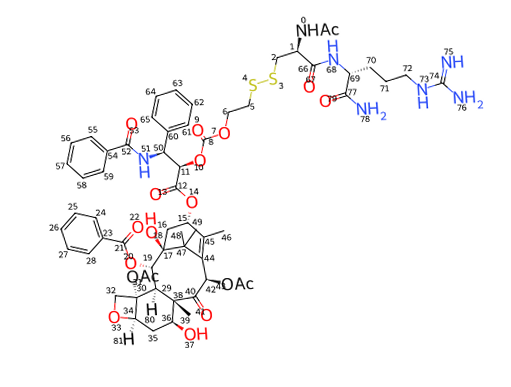 CC(=O)N[C@H](CSSCCOC(=O)O[C@@H](C(=O)O[C@H]1C[C@@]2(O)[C@@H](OC(=O)c3ccccc3)[C@@H]3[C@]4(OC(C)=O)CO[C@@H]4C[C@H](O)[C@@]3(C)C(=O)[C@H](OC(C)=O)C(=C1C)C2(C)C)[C@@H](NC(=O)c1ccccc1)c1ccccc1)C(=O)N[C@H](CCCNC(=N)N)C(N)=O